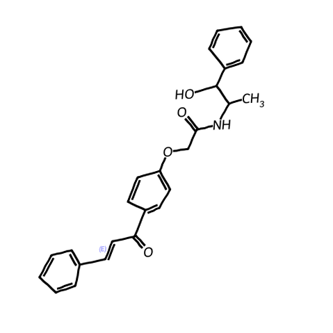 CC(NC(=O)COc1ccc(C(=O)/C=C/c2ccccc2)cc1)C(O)c1ccccc1